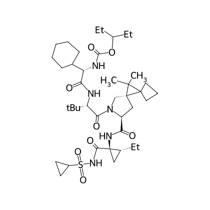 CCC(CC)OC(=O)N[C@H](C(=O)N[C@H](C(=O)N1C[C@]2(C[C@H]1C(=O)N[C@]1(C(=O)NS(=O)(=O)C3CC3)C[C@H]1CC)C(C)(C)C21CCC1)C(C)(C)C)C1CCCCC1